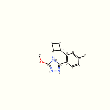 COc1nnc(-c2ccc(C)cc2C2CCC2)[nH]1